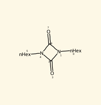 CCCCCCN1C(=O)N(CCCCCC)C1=O